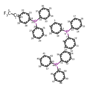 F[C](F)(F)[Cu].c1ccc(P(c2ccccc2)c2ccccc2)cc1.c1ccc(P(c2ccccc2)c2ccccc2)cc1.c1ccc(P(c2ccccc2)c2ccccc2)cc1